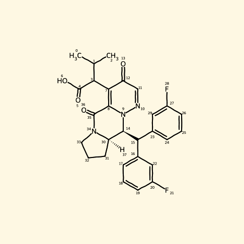 CC(C)C(C(=O)O)c1c2n(ncc1=O)[C@@H](C(c1cccc(F)c1)c1cccc(F)c1)[C@H]1CCCN1C2=O